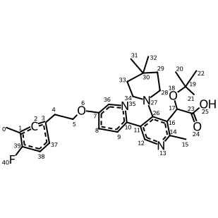 Cc1cc(CCOc2ccc(-c3cnc(C)c(C(OC(C)(C)C)C(=O)O)c3N3CCC(C)(C)CC3)nc2)ccc1F